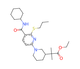 CCCSc1nc(N2CCCC(C(C)(C)C(=O)OCC)C2)ccc1C(=O)NC1CCCCC1